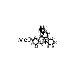 COc1ccc(Cn2c3ccccc3c3cc4cnnn4cc32)cc1